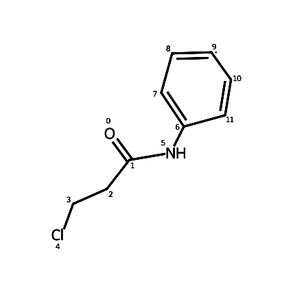 O=C(CCCl)Nc1cc[c]cc1